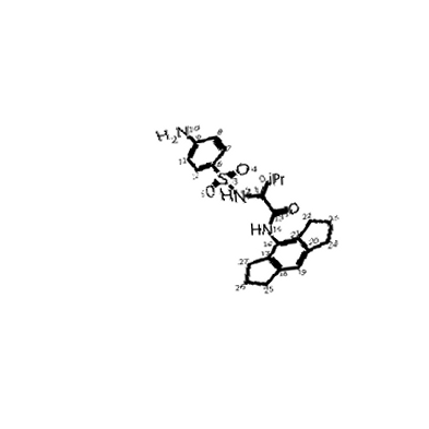 CC(C)C(NS(=O)(=O)c1ccc(N)cc1)C(=O)Nc1c2c(cc3c1CCC3)CCC2